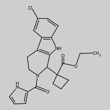 CCOC(=O)C1(C2c3[nH]c4ccc(Cl)cc4c3CCN2C(=O)c2ccc[nH]2)CCC1